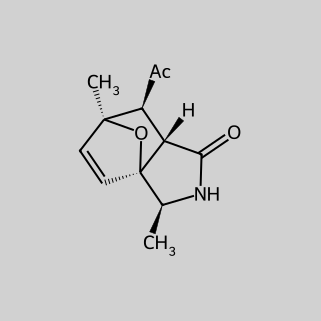 CC(=O)[C@H]1[C@@H]2C(=O)N[C@@H](C)[C@]23C=C[C@]1(C)O3